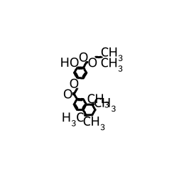 CC(C)COC(=O)c1ccc(OCC(=O)c2ccc3c(c2)C(C)(C)CCC3(C)C)cc1O